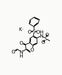 CS(=O)(=O)Nc1cc2occ(NC=O)c(=O)c2cc1S(=O)(=O)c1ccccc1.[K]